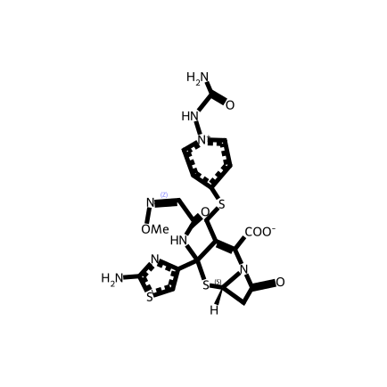 CO/N=C\C(=O)NC1(c2csc(N)n2)S[C@H]2CC(=O)N2C(C(=O)[O-])=C1CSc1cc[n+](NC(N)=O)cc1